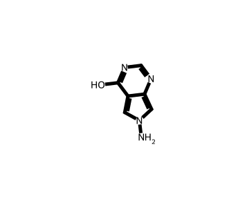 Nn1cc2ncnc(O)c2c1